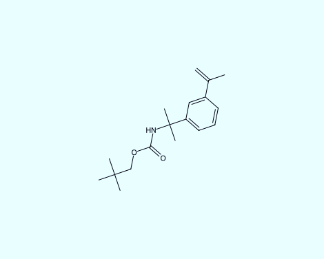 C=C(C)c1cccc(C(C)(C)NC(=O)OCC(C)(C)C)c1